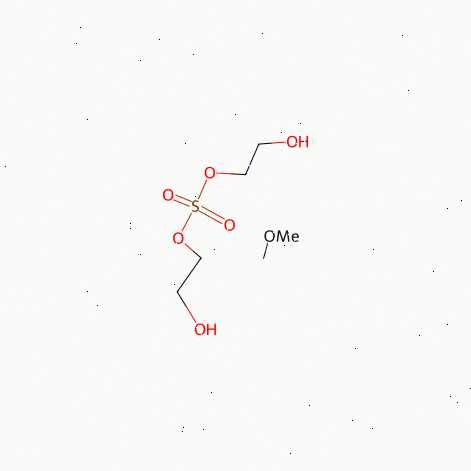 COC.O=S(=O)(OCCO)OCCO